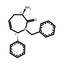 N[C@@H]1CC=C[C@@H](c2ccccc2)N(Cc2ccccc2)C1=O